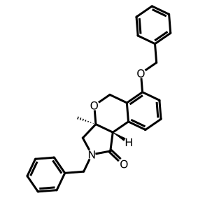 C[C@@]12CN(Cc3ccccc3)C(=O)[C@H]1c1cccc(OCc3ccccc3)c1CO2